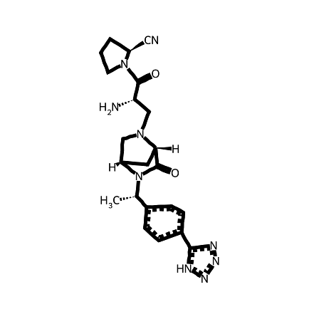 C[C@@H](c1ccc(-c2nnn[nH]2)cc1)N1C(=O)[C@@H]2C[C@H]1CN2C[C@H](N)C(=O)N1CCC[C@H]1C#N